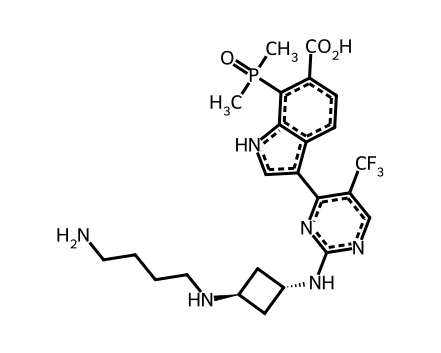 CP(C)(=O)c1c(C(=O)O)ccc2c(-c3nc(N[C@H]4C[C@H](NCCCCN)C4)ncc3C(F)(F)F)c[nH]c12